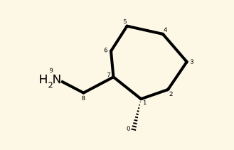 C[C@H]1CCCCCC1CN